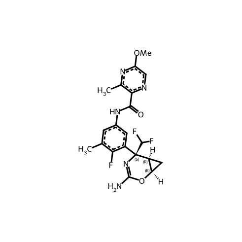 COc1cnc(C(=O)Nc2cc(C)c(F)c([C@@]3(C(F)F)N=C(N)O[C@@H]4C[C@@H]43)c2)c(C)n1